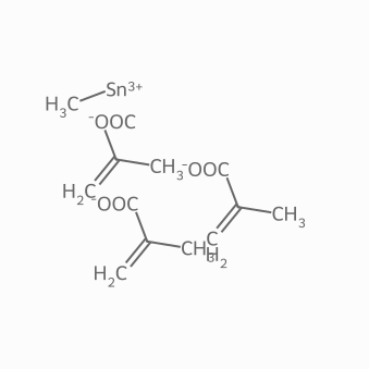 C=C(C)C(=O)[O-].C=C(C)C(=O)[O-].C=C(C)C(=O)[O-].[CH3][Sn+3]